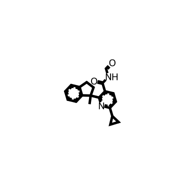 CC1(c2nc(C3CC3)ccc2C(=O)NC=O)CCc2ccccc21